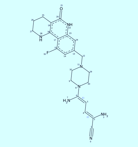 N#C/C(N)=C/C=C(\N)N1CCN(Cc2cc(F)c3c4c(c(=O)[nH]c3c2)CCCN4)CC1